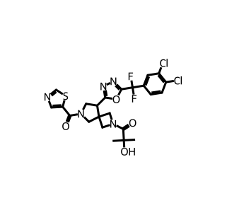 CC(C)(O)C(=O)N1CC2(CN(C(=O)c3cncs3)CC2c2nnc(C(F)(F)c3ccc(Cl)c(Cl)c3)o2)C1